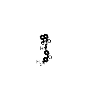 Nc1ccc(C(=O)c2ccc(NCCCN3C(=O)c4cccc5cccc(c45)C3=O)cc2)cc1